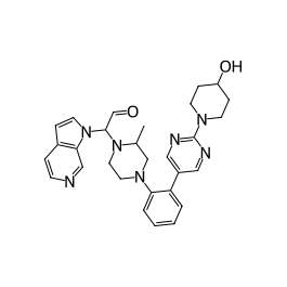 CC1CN(c2ccccc2-c2cnc(N3CCC(O)CC3)nc2)CCN1C(C=O)n1ccc2ccncc21